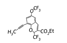 CC#Cc1cc(OC(F)(F)F)cc2c1OC(C(F)(F)F)C(C(=O)OCC)=C2